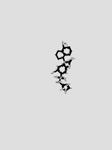 Cc1cccc2c1CCCC2n1c(=O)oc2cc(S(=O)(=O)Nc3ncns3)c(F)cc21